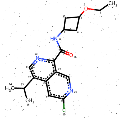 CCOC1CC(NC(=O)c2ncc(C(C)C)c3cc(Cl)ncc23)C1